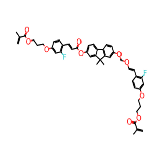 C=C(C)C(=O)OCCCOc1ccc(C=COCOc2ccc3c(c2)C(C)(C)c2cc(OC(=O)C=Cc4ccc(OCCCOC(=O)C(=C)C)cc4F)ccc2-3)c(F)c1